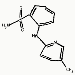 NS(=O)(=O)c1ccccc1Nc1ccc(C(F)(F)F)cn1